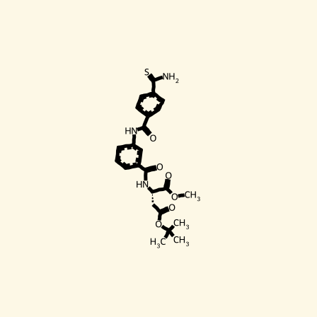 COC(=O)[C@H](CC(=O)OC(C)(C)C)NC(=O)c1cccc(NC(=O)c2ccc(C(N)=S)cc2)c1